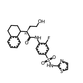 O=C(Nc1ccc(S(=O)(=O)Nc2nccs2)cc1F)[C@H](CCO)C1CCCc2ccccc21